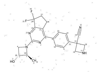 C[C@H]1[C@H](O)CN1c1nc(-c2ccc(C3(C#N)CNC3)cc2)c2c(n1)C(F)(F)CC2